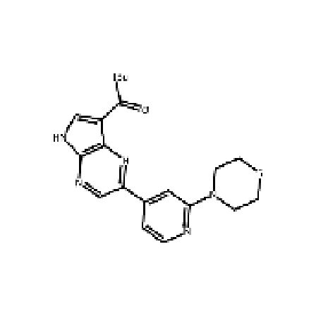 CC(C)(C)C(=O)c1c[nH]c2ncc(-c3ccnc(N4CCSCC4)c3)nc12